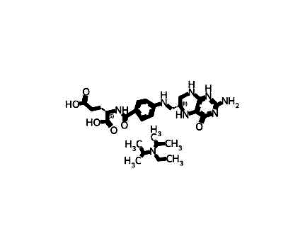 CCN(C(C)C)C(C)C.Nc1nc(=O)c2c([nH]1)NC[C@@H](CNc1ccc(C(=O)N[C@@H](CCC(=O)O)C(=O)O)cc1)N2